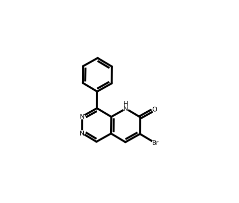 O=c1[nH]c2c(-c3ccccc3)nncc2cc1Br